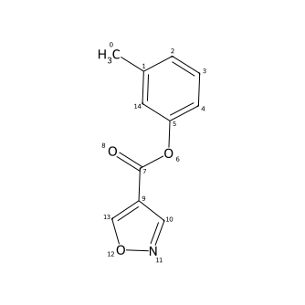 Cc1cccc(OC(=O)c2cnoc2)c1